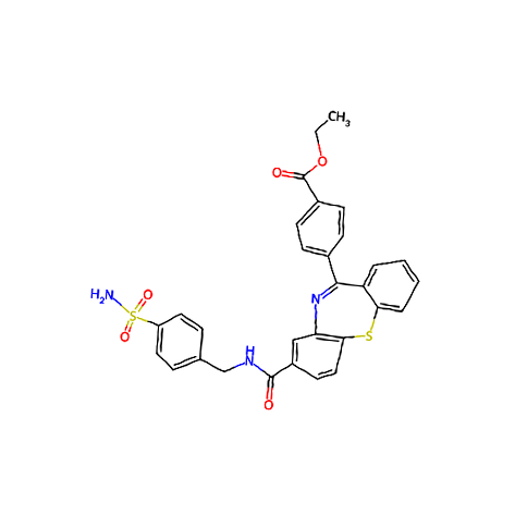 CCOC(=O)c1ccc(C2=Nc3cc(C(=O)NCc4ccc(S(N)(=O)=O)cc4)ccc3Sc3ccccc32)cc1